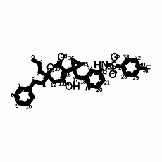 CCCC1(CCc2ccccc2)CC(O)=C(C2(Cc3cccc(NS(=O)(=O)c4ccc(F)cc4)c3)CC2)C(=O)O1